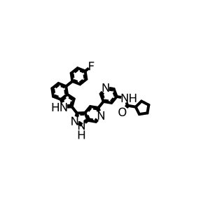 O=C(Nc1cncc(-c2cc3c(-c4cc5c(-c6ccc(F)cc6)cccc5[nH]4)n[nH]c3cn2)c1)C1CCCC1